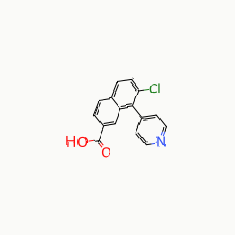 O=C(O)c1ccc2ccc(Cl)c(-c3ccncc3)c2c1